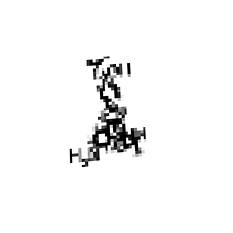 CC(C)OC(O)N1CCN(c2ncc(-c3ccc(N)cc3S(=O)(=O)NC(C)(C)C)s2)CC1